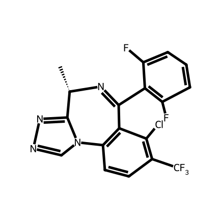 C[C@@H]1N=C(c2c(F)cccc2F)c2c(ccc(C(F)(F)F)c2Cl)-n2cnnc21